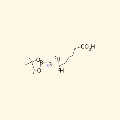 [2H]C([2H])(/C=C/B1OC(C)(C)C(C)(C)O1)CCCCC(=O)O